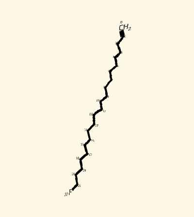 C=CCCCCCCCCCCCCCCCCCCCCF